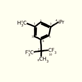 Cc1cc(C(C)C)cc(C(C)(C(F)(F)F)C(F)(F)F)c1